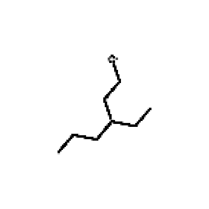 CCCC(CC)CC[O]